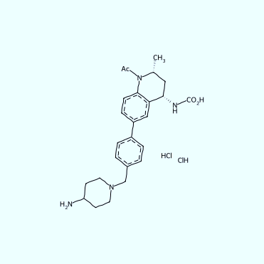 CC(=O)N1c2ccc(-c3ccc(CN4CCC(N)CC4)cc3)cc2[C@@H](NC(=O)O)C[C@H]1C.Cl.Cl